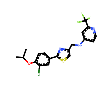 CC(C)Oc1ccc(-c2nc(CNc3ccnc(C(F)(F)F)c3)cs2)cc1Cl